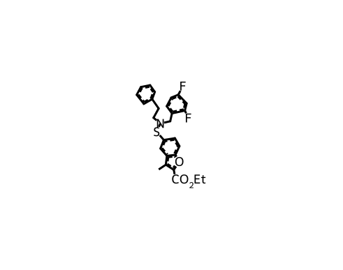 CCOC(=O)c1oc2ccc(SN(CCc3ccccc3)Cc3ccc(F)cc3F)cc2c1C